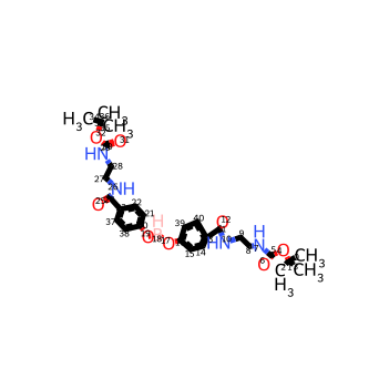 CC(C)(C)OC(=O)NCCNC(=O)c1ccc(OBOc2ccc(C(=O)NCCNC(=O)OC(C)(C)C)cc2)cc1